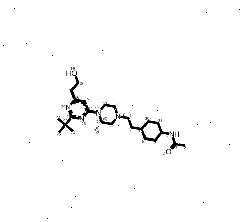 CC(=O)NC1CCC(CCN2CCN(c3cc(CCO)nc(C(C)(C)C)n3)[C@@H](C)C2)CC1